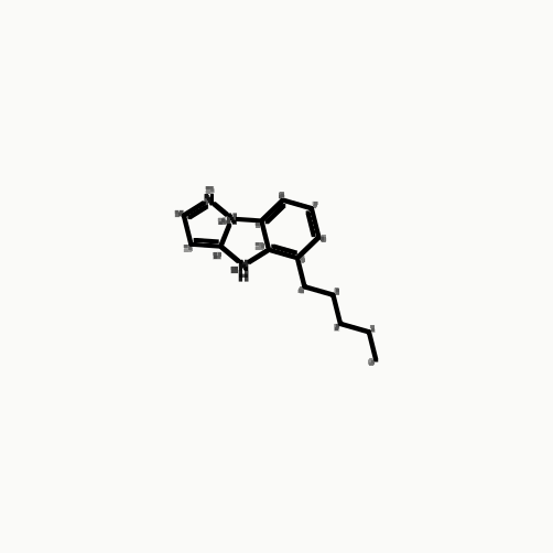 CCCCCc1cccc2c1[nH]c1ccnn12